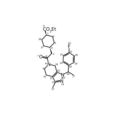 CCOC(=O)[C@H]1CC[C@@H](CC(=O)N2CCc3c(C)nn(C(C)c4ccc(F)cc4)c3C2)CC1